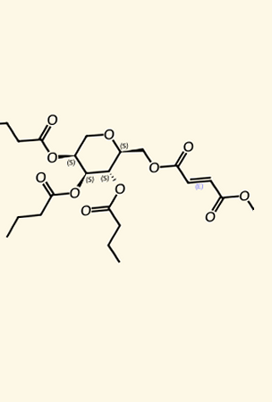 CCCC(=O)O[C@@H]1[C@@H](OC(=O)CCC)[C@@H](OC(=O)CCC)CO[C@H]1COC(=O)/C=C/C(=O)OC